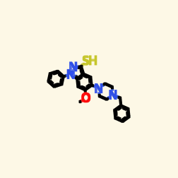 COc1cc2c(cc1N1CCN(Cc3ccccc3)CC1)c(S)nn2-c1ccccc1